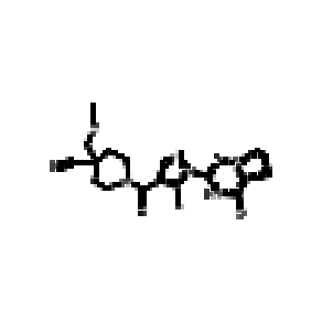 COCC1(C#N)CCN(C(=O)c2cnn(-c3nn4cccc4c(=O)[nH]3)c2C)CC1